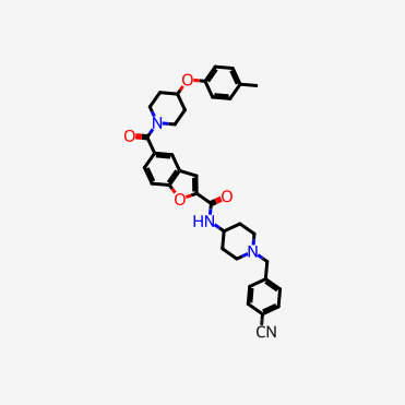 Cc1ccc(OC2CCN(C(=O)c3ccc4oc(C(=O)NC5CCN(Cc6ccc(C#N)cc6)CC5)cc4c3)CC2)cc1